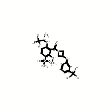 COc1c(S(C)(=O)=O)ccc(O[C@@H](C)C(F)(F)F)c1C(=O)N1CC(Oc2cccc(C(F)(F)F)c2)C1